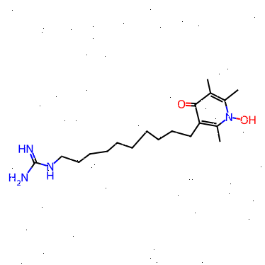 Cc1c(C)n(O)c(C)c(CCCCCCCCCCNC(=N)N)c1=O